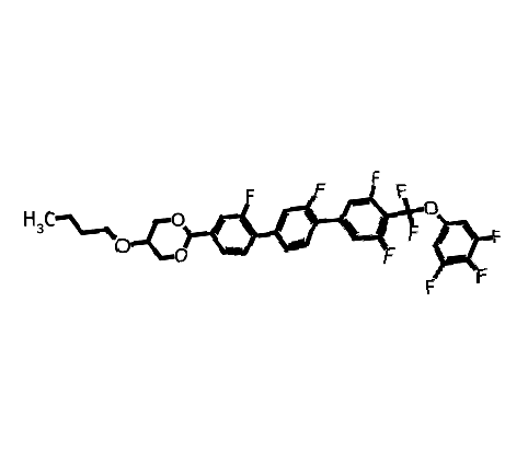 CCCCOC1COC(c2ccc(-c3ccc(-c4cc(F)c(C(F)(F)Oc5cc(F)c(F)c(F)c5)c(F)c4)c(F)c3)c(F)c2)OC1